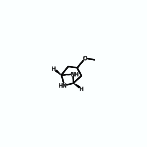 COC1C[C@H]2N[C@@H](C1)N2